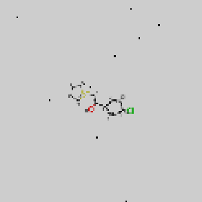 O=C(C[S+]1CCCC1)c1ccc(Cl)cc1